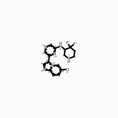 FC1(F)CCNCC1Nc1cncc(-c2cnc3ccc(Cl)cn23)n1